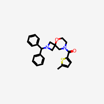 Cc1ccc(C(=O)N2CCOC3(C2)CN(C(c2ccccc2)c2ccccc2)C3)s1